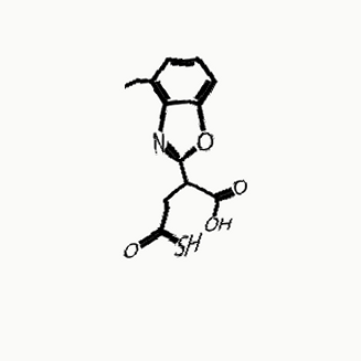 Cc1cccc2oc(C(CC(=O)S)C(=O)O)nc12